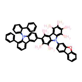 Bc1c(B)c(B)c2c(c1B)c1c(B)c(-c3ccc4c(c3)c3cccc(-c5ccccc5)c3n4-c3ccccc3-c3ccccc3)c(B)c(B)c1n2-c1ccc2c(c1)oc1ccccc12